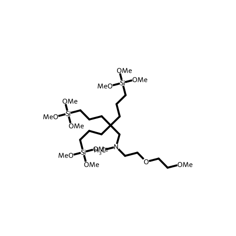 COCCOCCN(C)CC(CCC[Si](OC)(OC)OC)(CCC[Si](OC)(OC)OC)CCC[Si](OC)(OC)OC